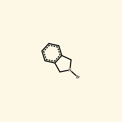 BrN1Cc2ccccc2C1